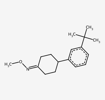 CON=C1CC[C](c2cccc(C(C)(C)C)c2)CC1